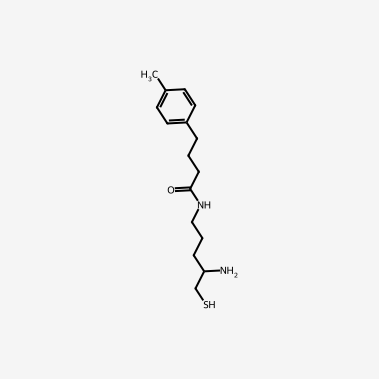 Cc1ccc(CCCC(=O)NCCCC(N)CS)cc1